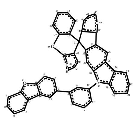 c1cc(-c2ccc3oc4ccccc4c3c2)cc(-n2c3ccccc3c3cc4c(cc32)C2(c3ccccc3Oc3ccccc32)c2ccccc2-4)c1